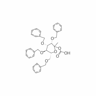 CC1(OC(=O)O)O[C@H](COCc2ccccc2)[C@@H](OCc2ccccc2)[C@H](OCc2ccccc2)[C@@H]1OCc1ccccc1